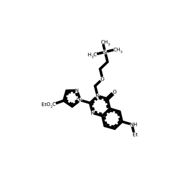 CCNc1ccc2nc(-n3cc(C(=O)OCC)cn3)n(COCC[Si](C)(C)C)c(=O)c2c1